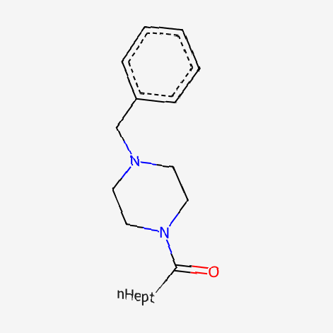 CCCCCCCC(=O)N1CCN(Cc2ccccc2)CC1